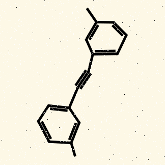 Cc1cccc(C#Cc2cccc(C)c2)c1